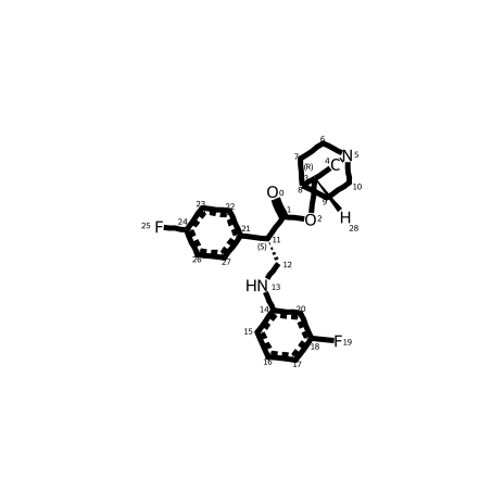 O=C(O[C@H]1CN2CCC1CC2)[C@H](CNc1cccc(F)c1)c1ccc(F)cc1